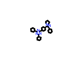 c1ccc(-c2nc(-c3ccccc3)nc(-c3ccc(-c4c(-c5ccccc5)nc5ccccn45)cc3)n2)cc1